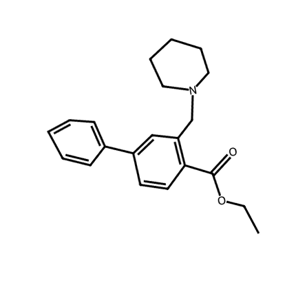 CCOC(=O)c1ccc(-c2ccccc2)cc1CN1CCCCC1